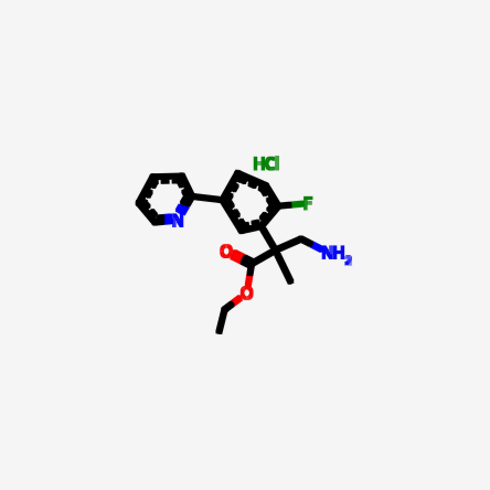 CCOC(=O)C(C)(CN)c1cc(-c2ccccn2)ccc1F.Cl